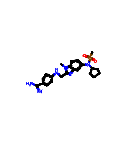 Cn1c(CNc2ccc(C(=N)N)cc2)nc2cc(N(C3CCCC3)S(C)(=O)=O)ccc21